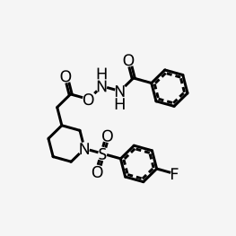 O=C(CC1CCCN(S(=O)(=O)c2ccc(F)cc2)C1)ONNC(=O)c1ccccc1